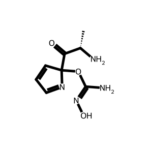 C[C@H](N)C(=O)C1(OC(N)=NO)C=CC=N1